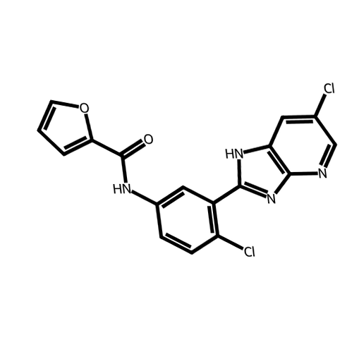 O=C(Nc1ccc(Cl)c(-c2nc3ncc(Cl)cc3[nH]2)c1)c1ccco1